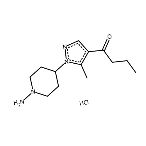 CCCC(=O)c1cnn(C2CCN(N)CC2)c1C.Cl